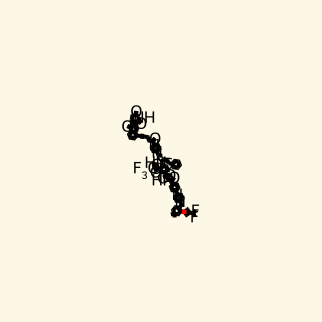 CC1(C)CCC(CN2CCN(c3ccc(C(=O)NS(=O)(=O)c4ccc(N[C@H](CCN5CCN(C(=O)CCC#Cc6cccc7c6CN(C6CCC(=O)NC6=O)C7=O)CC5)CSc5ccccc5)c(S(=O)(=O)C(F)(F)F)c4)cc3)CC2)=C(C23CC(C(F)F)(C2)C3)C1